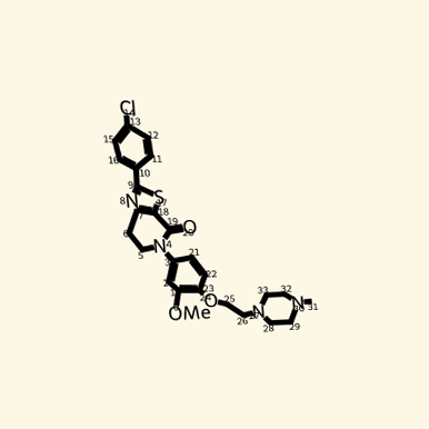 COc1cc(N2CCc3nc(-c4ccc(Cl)cc4)sc3C2=O)ccc1OCCN1CCN(C)CC1